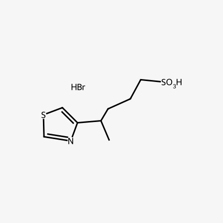 Br.CC(CCCS(=O)(=O)O)c1cscn1